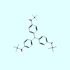 CC(C)(C)C(=O)c1ccc([C](c2ccc(C(=O)C(C)(C)C)cc2)c2ccc(C(=O)C(C)(C)C)cc2)cc1